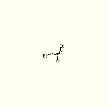 CCOP(O)OCC.[HH]